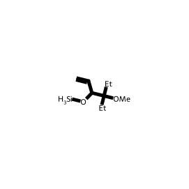 C=CC(O[SiH3])C(CC)(CC)OC